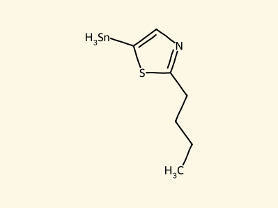 CCCCc1nc[c]([SnH3])s1